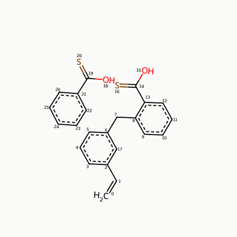 C=Cc1cccc(Cc2ccccc2C(O)=S)c1.OC(=S)c1ccccc1